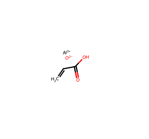 C=CC(=O)O.[Al+3].[O-2]